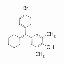 Cc1cc(C(=C2CCCCC2)c2ccc(Br)cc2)cc(C)c1O